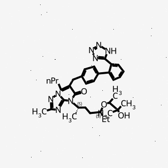 CCCc1c(Cc2ccc(-c3ccccc3-c3nnn[nH]3)cc2)c(=O)n([C@@H](C)CC[C@H](CC)OC(C)C(C)(C)O)c2nc(C)nn12